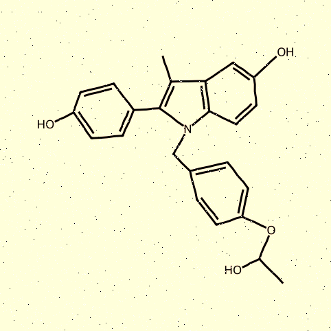 Cc1c(-c2ccc(O)cc2)n(Cc2ccc(OC(C)O)cc2)c2ccc(O)cc12